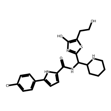 O=C(NC(c1nc(O)c(CCO)s1)C1CCCCN1)c1ccc(-c2ccc(Cl)cc2)[nH]1